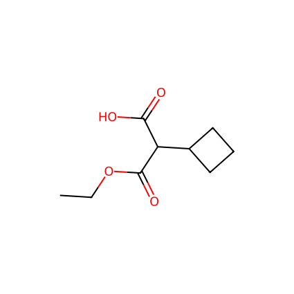 CCOC(=O)C(C(=O)O)C1CCC1